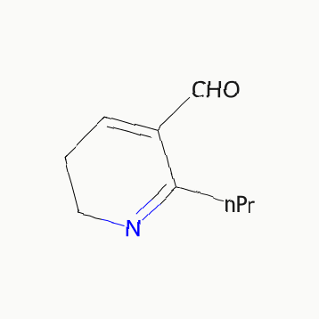 CCCC1=NCCC=C1C=O